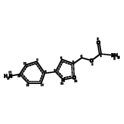 NC(=O)OCc1cc(-c2ccc(N)cc2)no1